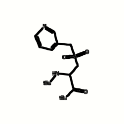 CC(C)(C)NC(CS(=O)(=O)Cc1cccnc1)C(=O)C(C)(C)C